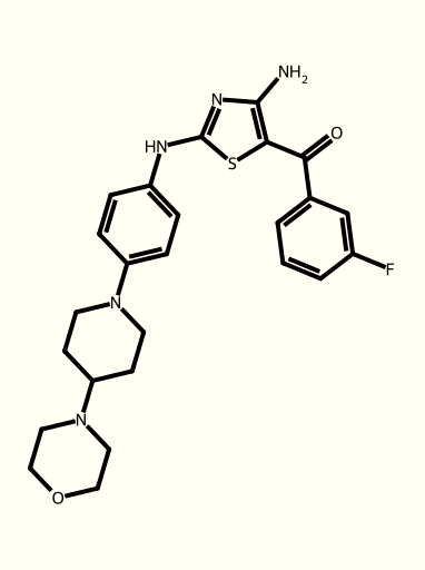 Nc1nc(Nc2ccc(N3CCC(N4CCOCC4)CC3)cc2)sc1C(=O)c1cccc(F)c1